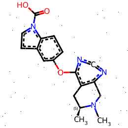 C[C@H]1Cc2c(ncnc2Oc2ccc3c(ccn3C(=O)O)c2)CN1C